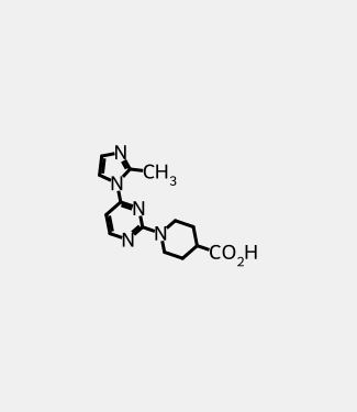 Cc1nccn1-c1ccnc(N2CCC(C(=O)O)CC2)n1